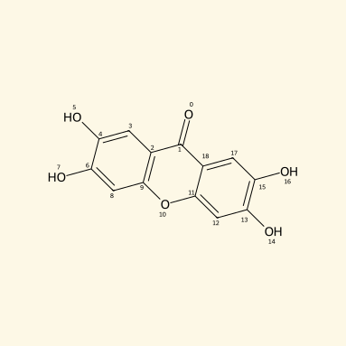 O=c1c2cc(O)c(O)cc2oc2cc(O)c(O)cc12